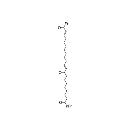 CCCC(=O)CCCCCCCC(=O)C=CCCCCCCCC=CC(=O)CC